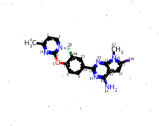 Cc1ccnc(Oc2ccc(-c3nc(N)c4cc(I)n(C)c4n3)cc2F)n1